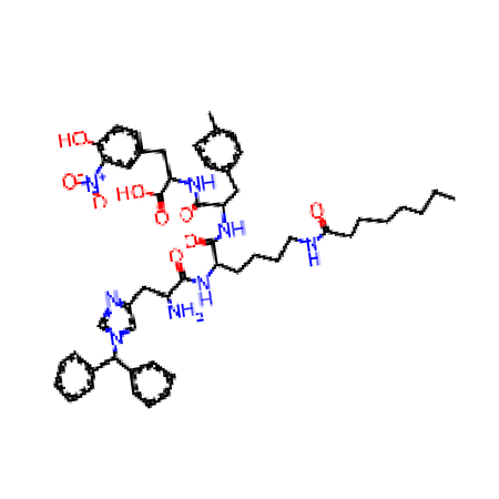 CCCCCCCC(=O)NCCCCC(NC(=O)C(N)Cc1cn(C(c2ccccc2)c2ccccc2)cn1)C(=O)NC(Cc1ccc(C)cc1)C(=O)NC(Cc1ccc(O)c([N+](=O)[O-])c1)C(=O)O